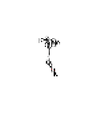 N#Cc1ccc(-c2ccc(OCCCCCCCCCCOC(=O)c3cc(OC(=O)c4ccc(I)cc4)ccc3OC(=O)c3ccc(I)cc3)cc2)cc1